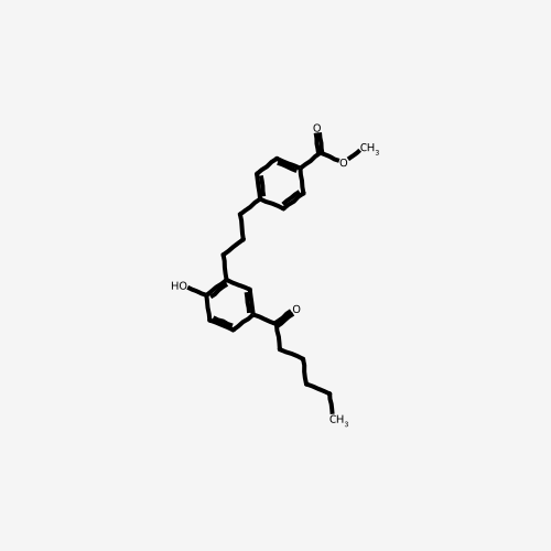 CCCCCC(=O)c1ccc(O)c(CCCc2ccc(C(=O)OC)cc2)c1